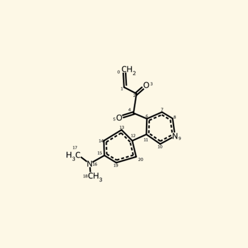 C=CC(=O)C(=O)c1ccncc1-c1ccc(N(C)C)cc1